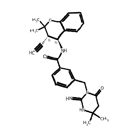 C#C[C@H]1[C@H](NC(=O)c2cccc(CN3C(=N)NC(C)(C)CC3=O)c2)c2ccccc2OC1(C)C